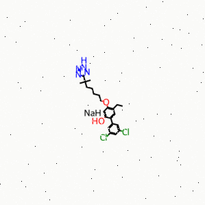 CCc1cc(-c2cc(Cl)cc(Cl)c2)c(O)cc1OCCCCCC(C)(C)c1nn[nH]n1.[NaH]